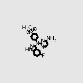 CS(=O)(=O)c1ccc(N(c2nccc(N)n2)c2n[nH]c3ccc(F)cc23)cc1